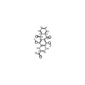 COc1c2c(c(OC)c3c1C(=O)c1ccccc1C3=O)CC(C(C)=O)=CC2